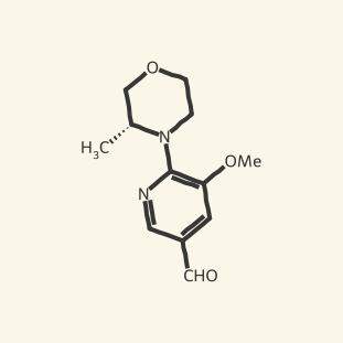 COc1cc(C=O)cnc1N1CCOC[C@H]1C